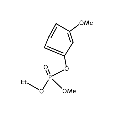 CCOP(=O)(OC)Oc1cccc(OC)c1